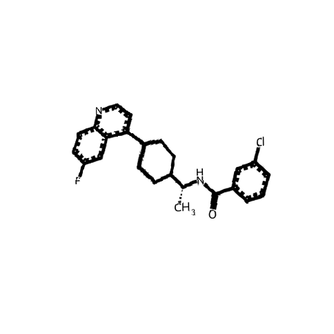 C[C@@H](NC(=O)c1cccc(Cl)c1)C1CCC(c2ccnc3ccc(F)cc23)CC1